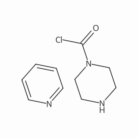 O=C(Cl)N1CCNCC1.c1ccncc1